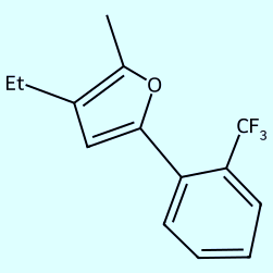 CCc1cc(-c2ccccc2C(F)(F)F)oc1C